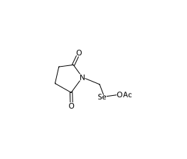 CC(=O)O[Se]CN1C(=O)CCC1=O